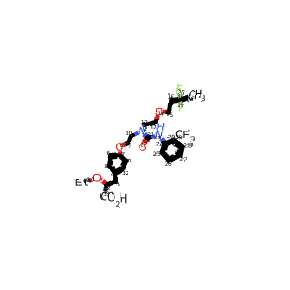 CCOC(Cc1ccc(OCCN(CCOCCC(C)(F)F)C(=O)Nc2ccccc2C(F)(F)F)cc1)C(=O)O